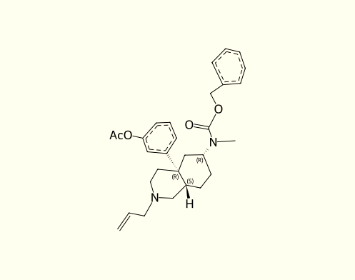 C=CCN1CC[C@@]2(c3cccc(OC(C)=O)c3)C[C@H](N(C)C(=O)OCc3ccccc3)CC[C@@H]2C1